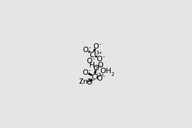 O.O.[O-][Cl+3]([O-])([O-])[O-].[O-][Cl+3]([O-])([O-])[O-].[Zn+2]